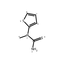 CN(C(N)=S)c1cccs1